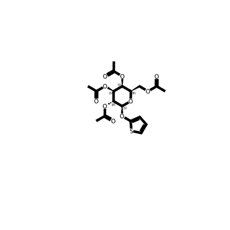 CC(=O)OC[C@H]1O[C@@H](Oc2cccs2)[C@H](OC(C)=O)[C@@H](OC(C)=O)[C@H]1OC(C)=O